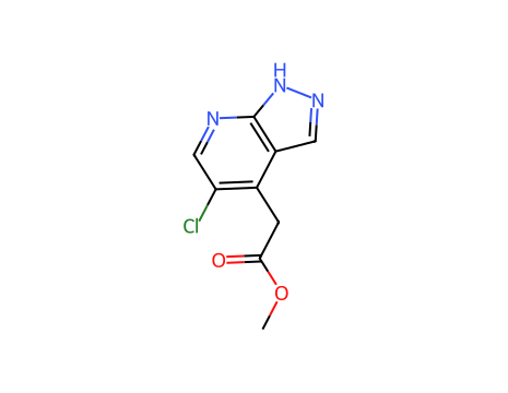 COC(=O)Cc1c(Cl)cnc2[nH]ncc12